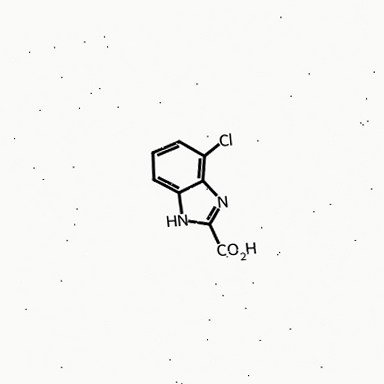 O=C(O)c1nc2c(Cl)cccc2[nH]1